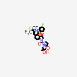 CC(C)(O)CN1C(=O)CCN1C(=O)N1CCC2(S(=O)(=O)c3ccc(F)cc3)c3cnc(C(F)(C(F)(F)F)C(F)(F)F)cc3CCC12